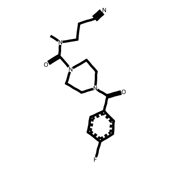 CN(CCC#N)C(=O)N1CCN(C(=O)c2ccc(F)cc2)CC1